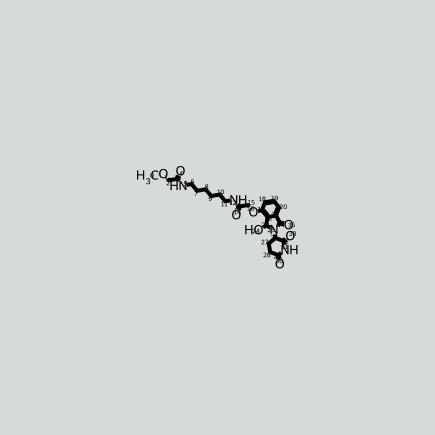 COCC(=O)NCCCCCCNC(=O)COc1cccc2c1C(O)N(C1CCC(=O)NC1=O)C2=O